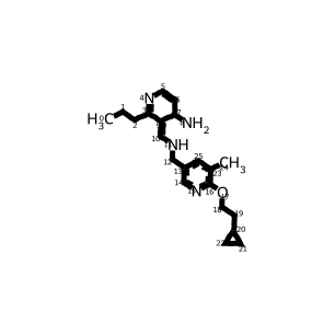 CCCC1=NC=CC(N)/C1=C\NCc1cnc(OCCC2CC2)c(C)c1